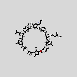 C/C=C/C[C@@H](C)[C@@H](O)[C@H]1C(=O)N[C@@H](CC)C(=O)N(C)[C@H](CSCCC(=O)OC)C(=O)N(C)[C@@](C=O)(CC(C)C)N[C@H](C(C)C)C(=O)N(C)[C@H]2CC(C)N(C(=O)C(C)NC(=O)N(C)C(CC(C)C)C(=O)N(C)[C@H](CCC(C)C)C(=O)N(C)[C@H](C(C)C)C(=O)N1C)C2=O